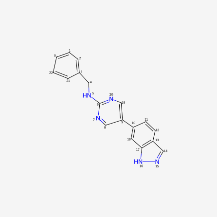 c1ccc(CNc2ncc(-c3ccc4cn[nH]c4c3)cn2)cc1